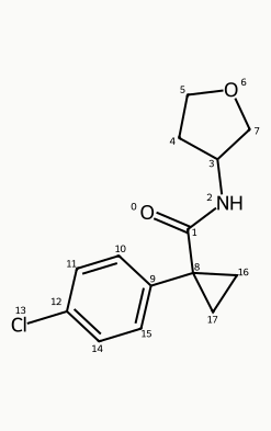 O=C(NC1CCOC1)C1(c2ccc(Cl)cc2)CC1